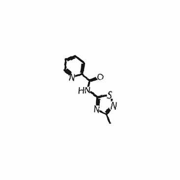 Cc1nsc(NC(=O)c2ccccn2)n1